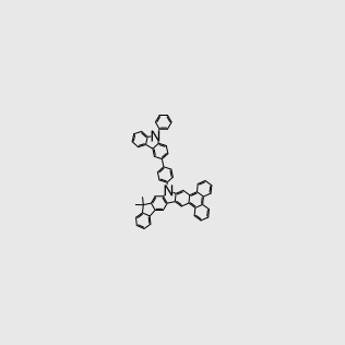 CC1(C)c2ccccc2-c2cc3c4cc5c6ccccc6c6ccccc6c5cc4n(-c4ccc(-c5ccc6c(c5)c5ccccc5n6-c5ccccc5)cc4)c3cc21